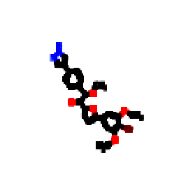 COc1cc(-c2ccc(C(=O)C(OC)c3ccc(-c4cn[nH]c4)cc3)o2)cc(OC)c1Br